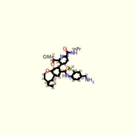 CCCNC(=O)c1ccc(-c2cc3c(cc2C(=O)Nc2ccc(CN)cc2Br)-c2sccc2CCO3)c(C(=O)OC)n1